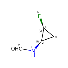 O=CN[C@@H]1C[C@@H]1F